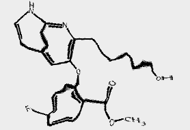 COC(=O)c1ccc(F)cc1Oc1cc2cc[nH]c2nc1CCCCCO